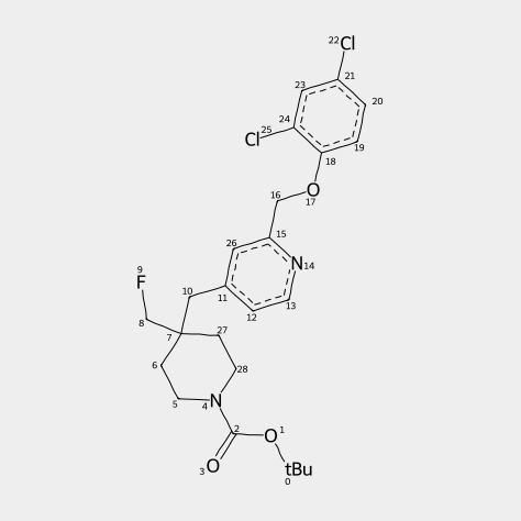 CC(C)(C)OC(=O)N1CCC(CF)(Cc2ccnc(COc3ccc(Cl)cc3Cl)c2)CC1